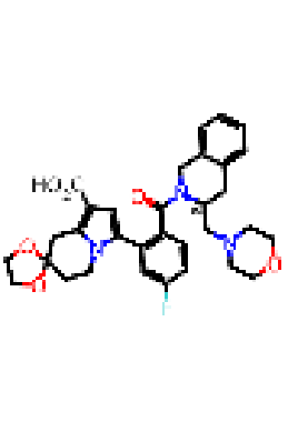 O=C(O)c1cc(-c2cc(F)ccc2C(=O)N2Cc3ccccc3C[C@H]2CN2CCOCC2)n2c1CC1(CC2)OCCO1